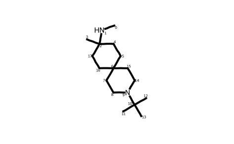 CNC1(C)CCC2(CCN(C(C)(C)C)CC2)CC1